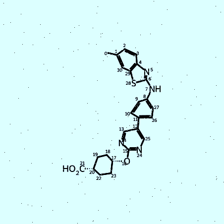 Cc1ccc2nc(Nc3ccc(-c4cnc(O[C@H]5CC[C@@H](C(=O)O)CC5)nc4)cc3)sc2c1